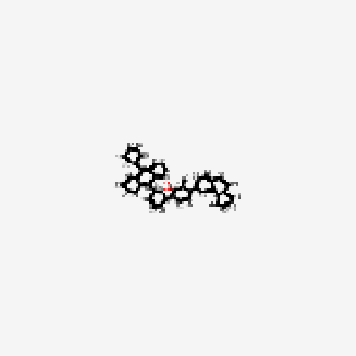 CC1c2oc3c(-c4c5ccccc5c(-c5ccccc5)c5ccccc45)cccc3c2C=CC1c1ccc2ccc3ccccc3c2c1